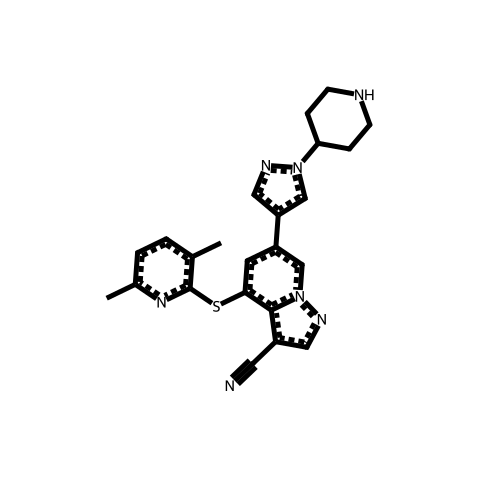 Cc1ccc(C)c(Sc2cc(-c3cnn(C4CCNCC4)c3)cn3ncc(C#N)c23)n1